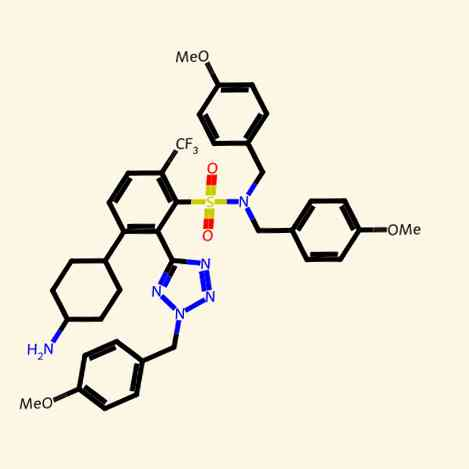 COc1ccc(CN(Cc2ccc(OC)cc2)S(=O)(=O)c2c(C(F)(F)F)ccc(C3CCC(N)CC3)c2-c2nnn(Cc3ccc(OC)cc3)n2)cc1